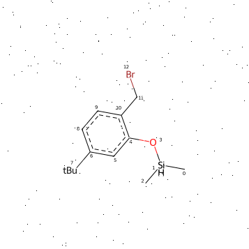 C[SiH](C)Oc1cc(C(C)(C)C)ccc1CBr